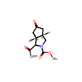 COC(=O)C1[C@@H]2CC(=O)C[C@@H]2CN1C(=O)OC(C)(C)C